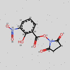 O=C(ON1C(=O)CCC1=O)c1cccc([N+](=O)[O-])c1O